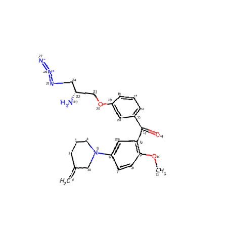 C=C1CCCN(c2ccc(OC)c(C(=O)c3cccc(OC[C@H](N)CN=[N+]=[N-])c3)c2)C1